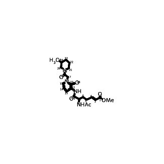 COC(=O)/C=C/CCC(NC(C)=O)C(=O)Nc1cccn(CC(=O)N2CCCC(C)C2)c1=O